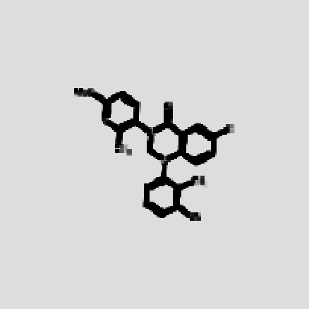 COc1ccc(N2CN(c3cccc(C#N)c3C)c3ccc(Cl)cc3C2=O)c(C)n1